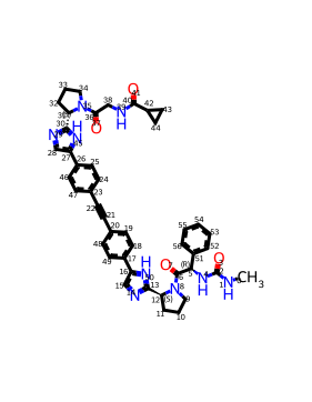 CNC(=O)N[C@@H](C(=O)N1CCC[C@H]1c1ncc(-c2ccc(C#Cc3ccc(-c4cnc([C@@H]5CCCN5C(=O)CNC(=O)C5CC5)[nH]4)cc3)cc2)[nH]1)c1ccccc1